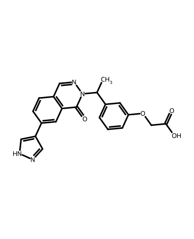 CC(c1cccc(OCC(=O)O)c1)n1ncc2ccc(-c3cn[nH]c3)cc2c1=O